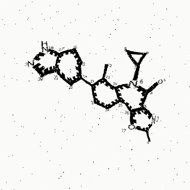 Cc1nc2c(=O)n(C3CC3)c3c(C)c(-c4ccc5[nH]ncc5c4)ccc3c2o1